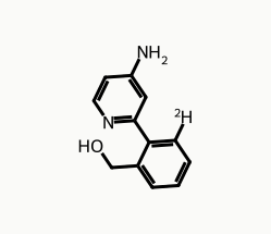 [2H]c1cccc(CO)c1-c1cc(N)ccn1